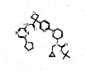 CC(C)(C)OC(=O)N(CC1CC1)[C@@H]1CCCN(c2ccc(C3(C(=O)Nc4cncc(N5CCCC5)n4)COC3)cn2)C1